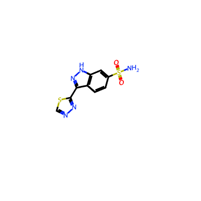 NS(=O)(=O)c1ccc2c(-c3nncs3)n[nH]c2c1